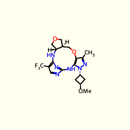 CO[C@H]1C[C@H](n2nc(C)c3c2Nc2ncc(C(F)(F)F)c(n2)N[C@@H]2COC[C@H]2CO3)C1